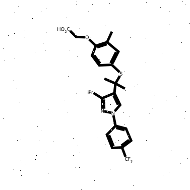 Cc1cc(SC(C)(C)c2cn(-c3ccc(C(F)(F)F)cc3)nc2C(C)C)ccc1OCC(=O)O